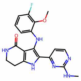 CNc1nccc(-c2[nH]c3c(c2Nc2cccc(F)c2OC)C(=O)NCC3)n1